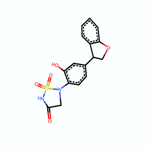 O=C1CN(c2ccc(C3COc4ccccc43)cc2O)S(=O)(=O)N1